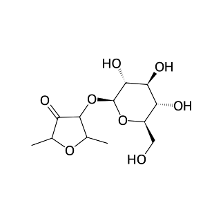 CC1OC(C)C(O[C@@H]2O[C@H](CO)[C@@H](O)[C@H](O)[C@H]2O)C1=O